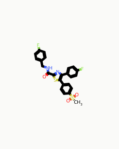 CS(=O)(=O)c1ccc(-c2sc(C(=O)NCc3ccc(F)cc3)nc2-c2ccc(F)cc2)cc1